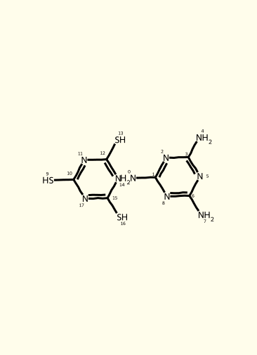 Nc1nc(N)nc(N)n1.Sc1nc(S)nc(S)n1